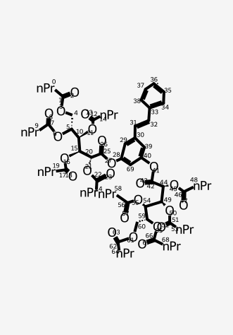 CCCC(=O)OC[C@@H](OC(=O)CCC)[C@@H](OC(=O)CCC)[C@H](OC(=O)CCC)[C@@H](OC(=O)CCC)C(=O)Oc1cc(/C=C/c2cc[c]cc2)cc(OC(=O)[C@H](OC(=O)CCC)[C@@H](OC(=O)CCC)[C@H](OC(=O)CCC)[C@@H](COC(=O)CCC)OC(=O)CCC)c1